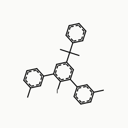 Cc1cccc(-c2cc(C(C)(C)c3ccccc3)cc(-c3cccc(C)c3)c2I)c1